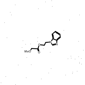 COCC(=O)OCCn1cnc2ccccc21